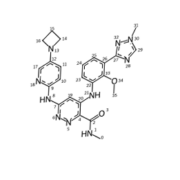 CNC(=O)c1nnc(Nc2ccc(N3CCC3)cn2)cc1Nc1cccc(-c2ncn(C)n2)c1OC